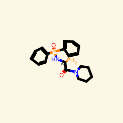 O=C([C@H](P)NP(=O)(c1ccccc1)c1ccccc1)N1CCCCC1